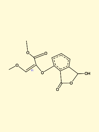 CO/C=C(/Oc1cccc2c1C(=O)OC2O)C(=O)OC